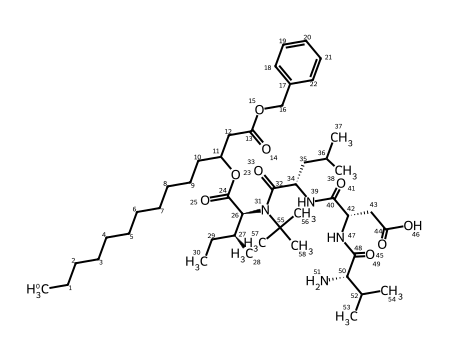 CCCCCCCCCCCC(CC(=O)OCc1ccccc1)OC(=O)[C@H]([C@@H](C)CC)N(C(=O)[C@H](CC(C)C)NC(=O)[C@H](CC(=O)O)NC(=O)[C@@H](N)C(C)C)C(C)(C)C